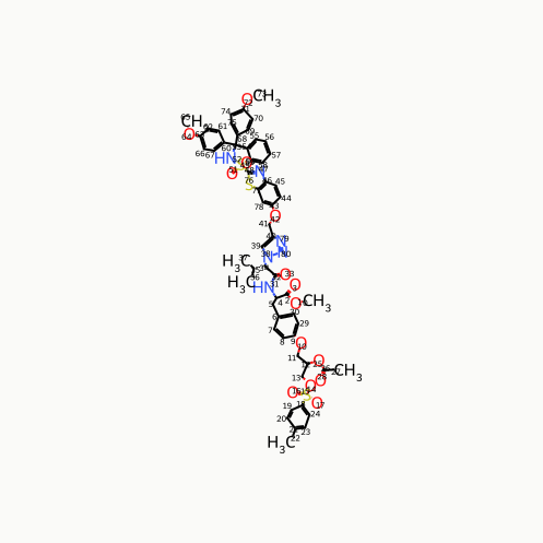 COC(=O)C(Cc1ccc(OCC(COS(=O)(=O)c2ccc(C)cc2)OC(C)=O)cc1)NC(=O)[C@H](C(C)C)n1cc(COc2ccc3nc(S(=O)(=O)NC(c4ccccc4)(c4ccc(OC)cc4)c4ccc(OC)cc4)sc3c2)nn1